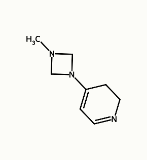 CN1CN(C2=CC=NCC2)C1